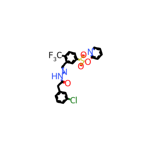 O=C(Cc1cccc(Cl)c1)N/N=C/c1cc(S(=O)(=O)Oc2ccccn2)ccc1C(F)(F)F